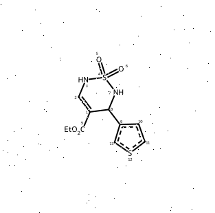 CCOC(=O)C1=CNS(=O)(=O)NC1c1ccsc1